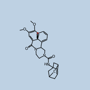 COc1ccc(C(=O)N2CCN(C(=O)NC34CC5CC=C3C(C5)C4)CC2c2ccccc2)cc1OC